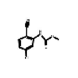 COC(=O)Nc1cc(Cl)ccc1C#N